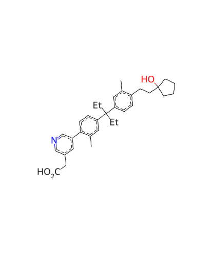 CCC(CC)(c1ccc(CCC2(O)CCCC2)c(C)c1)c1ccc(-c2cncc(CC(=O)O)c2)c(C)c1